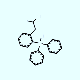 CC(O)Cc1ccccc1[Si](C)(c1ccccc1)c1ccccc1